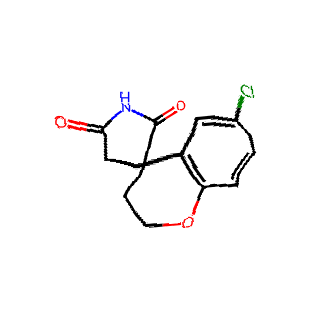 O=C1CC2(CCOc3ccc(Cl)cc32)C(=O)N1